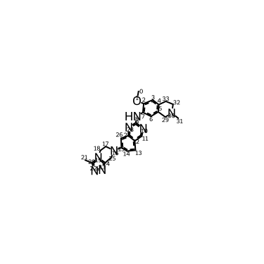 COc1cc2c(cc1Nc1ncc3ccc(N4CCn5c(C)nnc5C4)cc3n1)CN(C)CC2